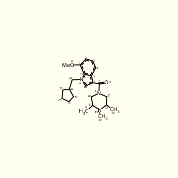 COc1cccc2c(C(=O)N3CC(C)N(C)C(C)C3)cn(CC3CCCC3)c12